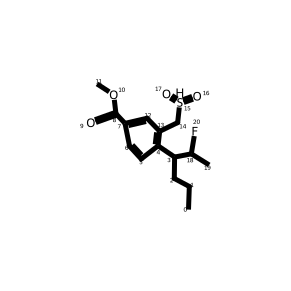 CCCC(c1ccc(C(=O)OC)cc1C[SH](=O)=O)C(C)F